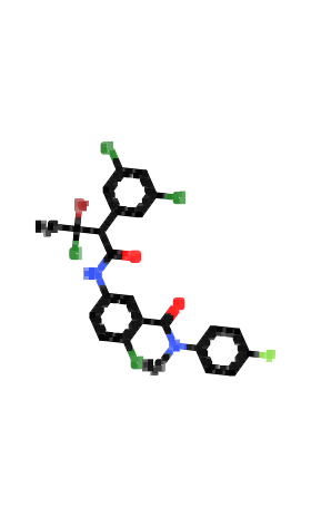 CN(C(=O)c1cc(NC(=O)C(c2cc(Cl)cc(Cl)c2)C(C)(Cl)Br)ccc1Cl)c1ccc(F)cc1